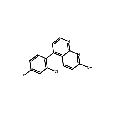 Oc1ccc2c(-c3ccc(F)cc3Cl)ccnc2n1